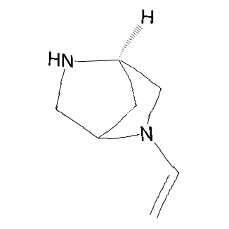 C=CN1C[C@H]2CC1CN2